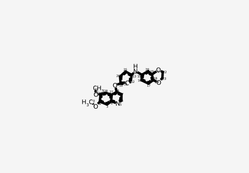 COc1cc2nccc(Oc3ccc(Nc4ccc5c(c4)OCCO5)cc3)c2cc1OC